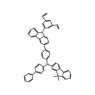 C=Cc1cc(C=C)cc(-n2c3ccccc3c3cc(-c4ccc(N(c5ccc(-c6ccccc6)cc5)c5ccc6c(c5)C(C)(C)c5ccccc5-6)cc4)ccc32)c1